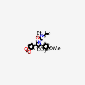 C=CCN(CC)C(=O)CN1C[C@H](c2ccc3c(c2)OCO3)[C@H](C(=O)O)[C@H]1c1ccc(OC)cc1